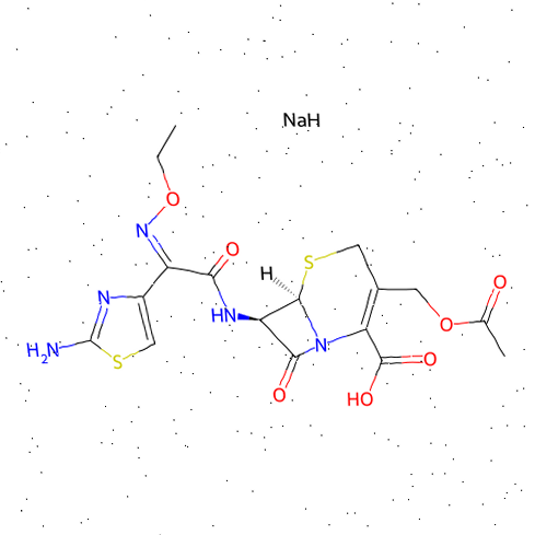 CCO/N=C(\C(=O)N[C@@H]1C(=O)N2C(C(=O)O)=C(COC(C)=O)CS[C@H]12)c1csc(N)n1.[NaH]